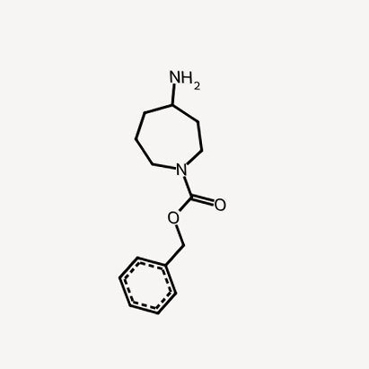 NC1CCCN(C(=O)OCc2ccccc2)CC1